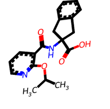 CC(C)Oc1ncccc1C(=O)NC1(C(=O)O)Cc2ccccc2C1